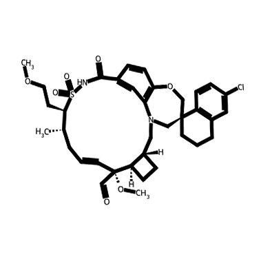 COCC[C@@H]1[C@@H](C)C/C=C/[C@@](C=O)(OC)[C@@H]2CC[C@H]2CN2C[C@@]3(CCCc4cc(Cl)ccc43)COc3ccc(cc32)C(=O)NS1(=O)=O